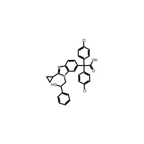 O=C(O)C(c1ccc(Cl)cc1)(c1ccc(Cl)cc1)c1ccc2nc(C3CC3)n(CC(O)c3ccccc3)c2c1